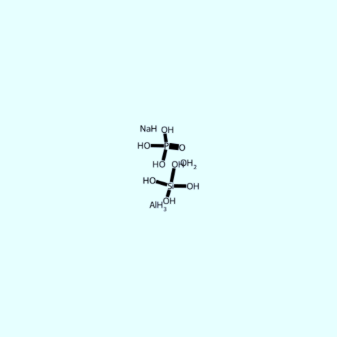 O.O=P(O)(O)O.O[Si](O)(O)O.[AlH3].[NaH]